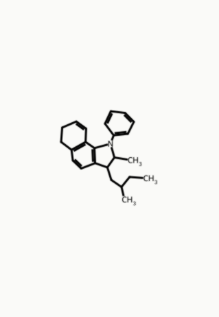 CCC(C)CC1c2ccc3c(c2N(c2ccccc2)C1C)C=CCC3